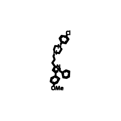 COc1ccc(-c2cc(CCCN3CCN(c4ccc(Cl)cc4)CC3)nn2-c2ccccc2)cc1